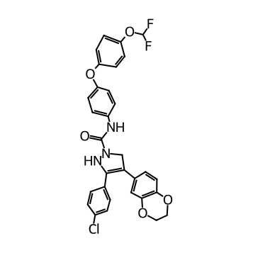 O=C(Nc1ccc(Oc2ccc(OC(F)F)cc2)cc1)N1CC(c2ccc3c(c2)OCCO3)=C(c2ccc(Cl)cc2)N1